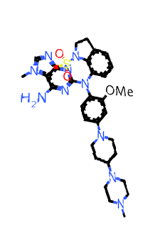 COc1cc(N2CCC(N3CCN(C)CC3)CC2)ccc1N(c1nc(N)c2c(ncn2C)n1)c1cccc2c1N(S(C)(=O)=O)CC2